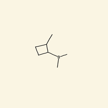 CB(C)C1CCC1C